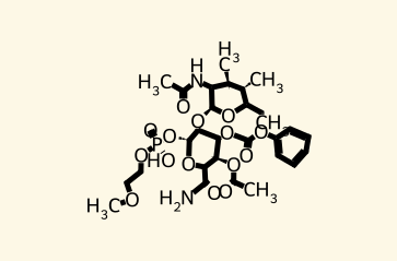 CCC1O[C@@H](OC2[C@@H](OP(=O)(O)OCCOC)OC(C(N)=O)[C@H](OC(C)=O)[C@@H]2OC(=O)Oc2ccccc2)C(NC(C)=O)[C@@H](C)[C@@H]1C